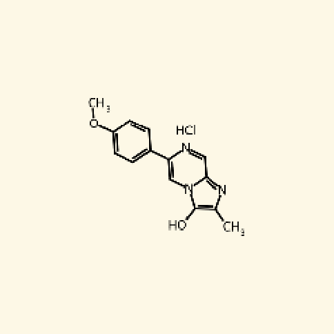 COc1ccc(-c2cn3c(O)c(C)nc3cn2)cc1.Cl